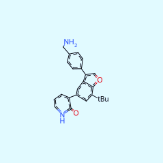 CC(C)(C)c1cc(-c2ccc[nH]c2=O)cc2c(-c3ccc(CN)cc3)coc12